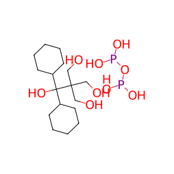 OCC(CO)(CO)C(O)(C1CCCCC1)C1CCCCC1.OP(O)OP(O)O